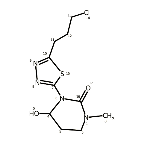 CN1CCC(O)N(c2nnc(CCCCl)s2)C1=O